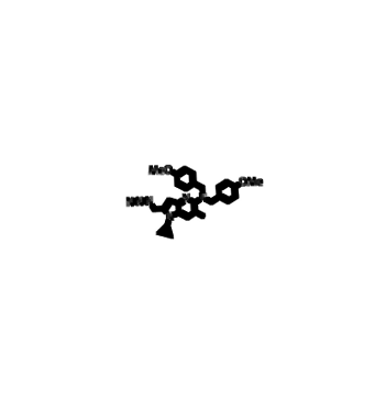 COc1ccc(CN(Cc2ccc(OC)cc2)c2nc3cc(CN=[N+]=[N-])n(C4CC4)c3cc2C)cc1